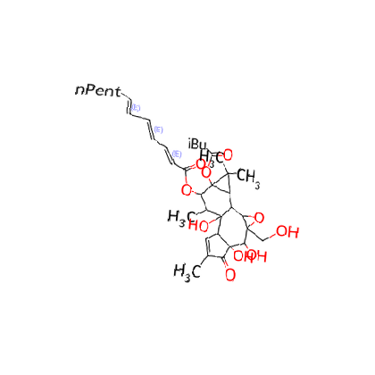 CCCCC/C=C/C=C/C=C/C(=O)OC1C(C)C2(O)C(C3OC3(CO)C(O)C3(O)C(=O)C(C)=CC32)C2C(C)(C)C12OC(=O)C(C)CC